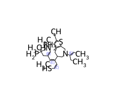 C#Cc1cc2c(s1)CN(/C(=C/C)CC)CC(C(/C=C\S)=C(C)\C(=C\NCC)CC(C)(P)CP)C2